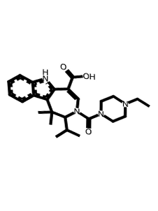 CCN1CCN(C(=O)N2C=C(C(=O)O)c3[nH]c4ccccc4c3C(C)(C)C2C(C)C)CC1